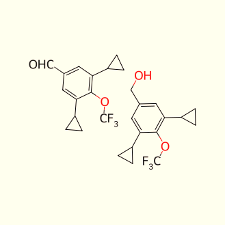 O=Cc1cc(C2CC2)c(OC(F)(F)F)c(C2CC2)c1.OCc1cc(C2CC2)c(OC(F)(F)F)c(C2CC2)c1